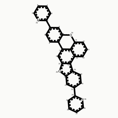 c1ccc(-c2ccc3c(c2)Oc2cccc4c2c-3cc2oc3cc(-c5ccccn5)ccc3c24)nc1